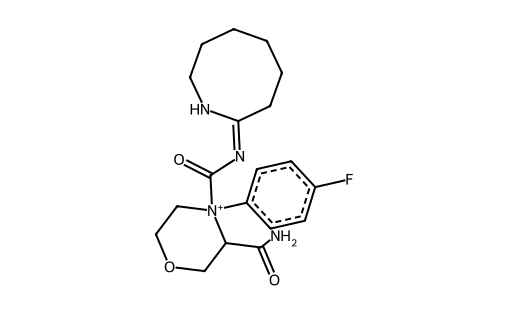 NC(=O)C1COCC[N+]1(C(=O)N=C1CCCCCCN1)c1ccc(F)cc1